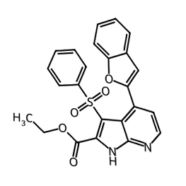 CCOC(=O)c1[nH]c2nccc(-c3cc4ccccc4o3)c2c1S(=O)(=O)c1ccccc1